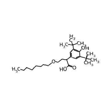 CCCCCCCCOCCC(C(=O)O)c1cc(C(C)(C)C)c(O)c(C(C)(C)C)c1